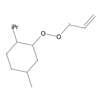 C=C[CH]OOC1CC(C)CCC1C(C)C